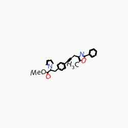 COC(=O)C(Cc1ccc(C#CCc2nc(-c3ccccc3)oc2C)cc1)n1cccc1